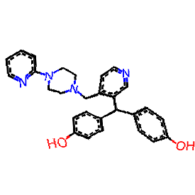 Oc1ccc(C(c2ccc(O)cc2)c2cnccc2CN2CCN(c3ccccn3)CC2)cc1